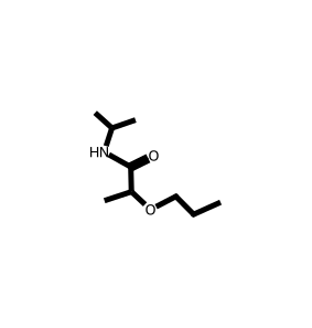 CCCOC(C)C(=O)NC(C)C